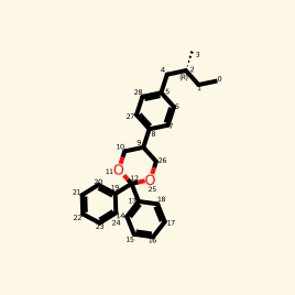 CC[C@@H](C)Cc1ccc(C2COC(c3ccccc3)(c3ccccc3)OC2)cc1